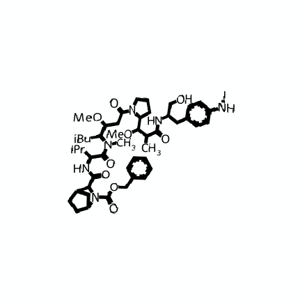 CCC(C)C(C(CC(=O)N1CCCC1C(OC)C(C)C(=O)NC(CO)Cc1ccc(NI)cc1)OC)N(C)C(=O)C(NC(=O)C1C2CCC(C2)N1C(=O)OCc1ccccc1)C(C)C